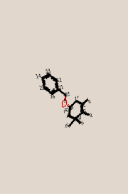 CC1=C(C)C(C)(C)C[C@@H](OCc2ccccc2)C1